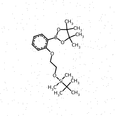 CC1(C)OB(c2ccccc2OCCO[Si](C)(C)C(C)(C)C)OC1(C)C